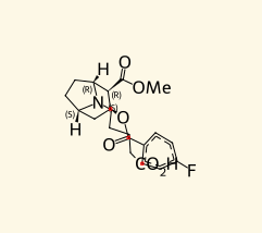 COC(=O)[C@H]1[C@@H](OC(=O)c2ccc(F)cc2)C[C@@H]2CC[C@H]1N2CCCCC(=O)O